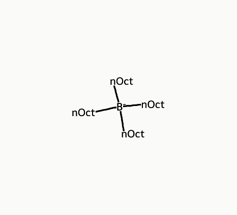 CCCCCCCC[B-](CCCCCCCC)(CCCCCCCC)CCCCCCCC